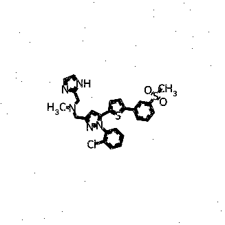 CN(Cc1cc(-c2ccc(-c3cccc(S(C)(=O)=O)c3)s2)n(-c2ccccc2Cl)n1)Cc1ncc[nH]1